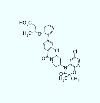 C[C@H](CC(=O)O)Oc1ccccc1-c1ccc(C(=O)N2CCC(N3C(=O)C(C)(C)Oc4ncc(Cl)cc43)CC2)c(Cl)c1